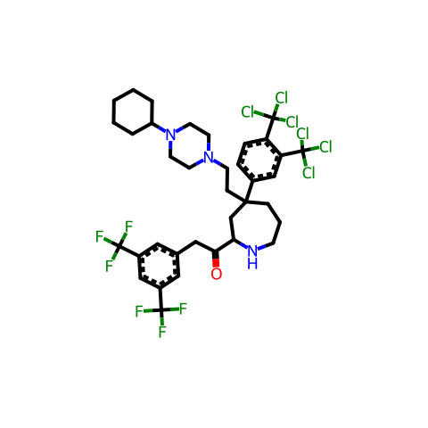 O=C(Cc1cc(C(F)(F)F)cc(C(F)(F)F)c1)C1CC(CCN2CCN(C3CCCCC3)CC2)(c2ccc(C(Cl)(Cl)Cl)c(C(Cl)(Cl)Cl)c2)CCCN1